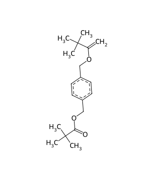 C=C(OCc1ccc(COC(=O)C(C)(C)C)cc1)C(C)(C)C